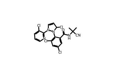 CC(C)(C#N)NC(=O)c1cc(Cl)cc(Cl)c1N1C(Cl)C=CN1c1ncccc1Cl